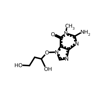 Cn1c(N)nc2ncn(OC(O)CCO)c2c1=O